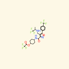 CC(NCc1c(C(=O)NC2CCC(OC(=O)C(F)(F)F)CC2)noc1-c1ccc(C(F)(F)F)cc1)C(F)(F)F